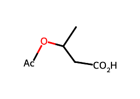 CC(=O)OC(C)CC(=O)O